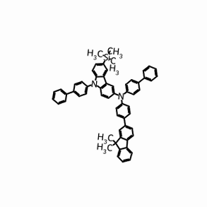 CC1(C)c2ccccc2-c2ccc(-c3ccc(N(c4ccc(-c5ccccc5)cc4)c4ccc5c(c4)c4cc([Si](C)(C)C)ccc4n5-c4ccc(-c5ccccc5)cc4)cc3)cc21